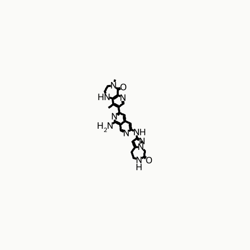 Cc1c(-c2cc3cc(Nc4cc5n(n4)CC(=O)NCC5)ncc3c(N)n2)cnc2c1NCCN(C)C2=O